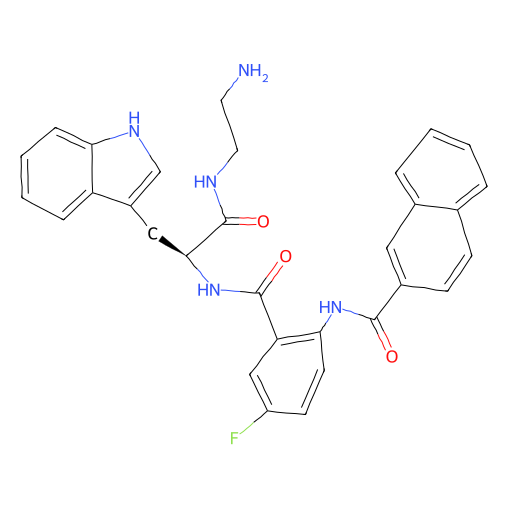 NCCNC(=O)[C@H](Cc1c[nH]c2ccccc12)NC(=O)c1cc(F)ccc1NC(=O)c1ccc2ccccc2c1